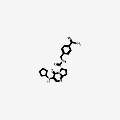 N=C(N)c1ccc(CNC(=O)[C@@H]2CCc3ncc(NC4CCCC4)c(=O)n32)cc1